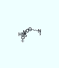 C=CCN(C)CCCCCCOc1ccc(N(C)C(=S)Nc2ccc(C(C)(C)C)cc2)cc1